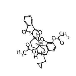 CC(=O)Oc1ccc2c3c1O[C@H]1[C@H](N4C(=O)c5ccccc5C4=O)CCC4(OC(C)=O)[C@@H](C2)N(CC2CC2)CC[C@]314